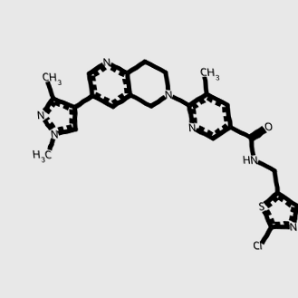 Cc1cc(C(=O)NCc2cnc(Cl)s2)cnc1N1CCc2ncc(-c3cn(C)nc3C)cc2C1